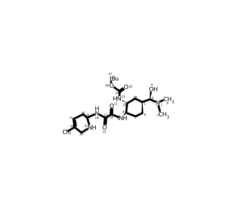 CN(C)[C@H](O)[C@H]1CC[C@H](NC(=O)C(=O)NC2CC=C(Cl)CN2)[C@H](NC(=O)OC(C)(C)C)C1